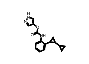 O=C(Nc1ccccc1C1CC1C1CC1)Oc1cn[nH]c1